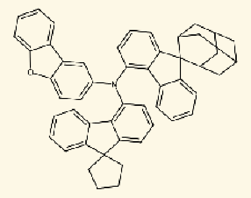 c1ccc2c(c1)-c1c(N(c3ccc4oc5ccccc5c4c3)c3cccc4c3-c3ccccc3C43C4CC5CC(C4)CC3C5)cccc1C21CCCC1